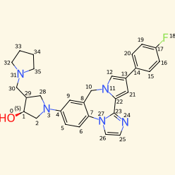 O[C@@H]1CN(c2ccc3c(c2)Cn2cc(-c4ccc(F)cc4)cc2-c2nccn2-3)CC1CN1CCCC1